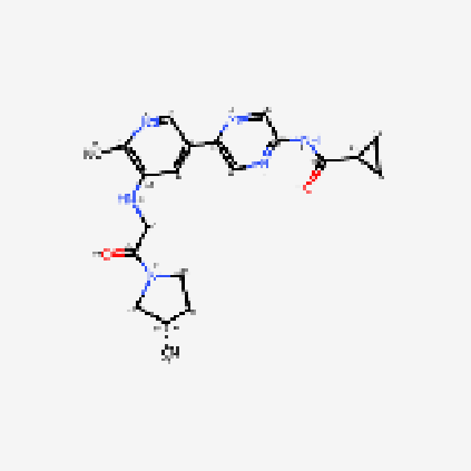 N#Cc1ncc(-c2cnc(NC(=O)C3CC3)cn2)cc1NCC(=O)N1CC[C@H](C#N)C1